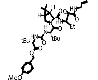 C=CCNC(=O)C(=O)C(CC)NC(=O)[C@@H]1[C@@H]2[C@H](CN1C(=O)[C@@H](NC(=O)N[C@H](C(=O)OCc1ccc(OC)cc1)C(C)(C)C)C(C)(C)C)C2(C)C